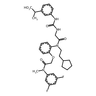 CC(C(=O)O)c1cccc(NC(=O)NCC(=O)N(CCC2CCCC2)c2ccccc2OCC(=O)N(C)c2cc(F)cc(F)c2)c1